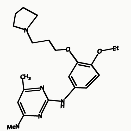 CCOc1ccc(Nc2nc(C)cc(NC)n2)cc1OCCCN1CCCC1